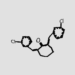 O=C1/C(=C\c2cccc(Cl)c2)CCCC/C1=C\c1cccc(Cl)c1